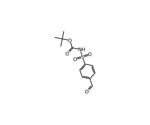 CC(C)(C)OC(=O)NS(=O)(=O)c1ccc(C=O)cc1